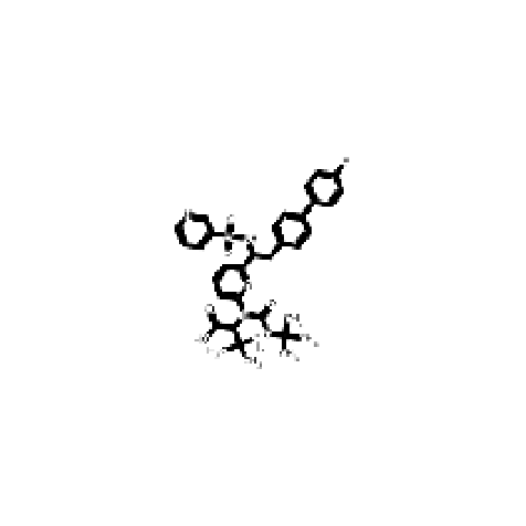 CC(C)(C)OC(=O)N(c1cccc(C(Cc2ccc(-c3ccc(F)cc3)cc2)NS(=O)(=O)c2cccnc2)n1)C(C(=O)O)C(C)(C)C